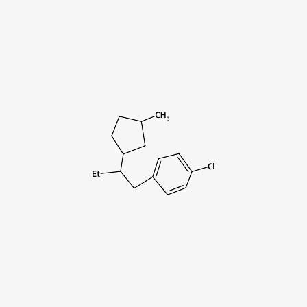 CCC(Cc1ccc(Cl)cc1)C1CCC(C)C1